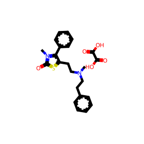 CN(CCc1ccccc1)CCc1sc(=O)n(C)c1-c1ccccc1.O=C(O)C(=O)O